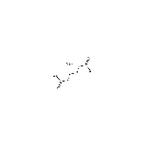 O=C(S)CCCCC(=O)S.[NaH]